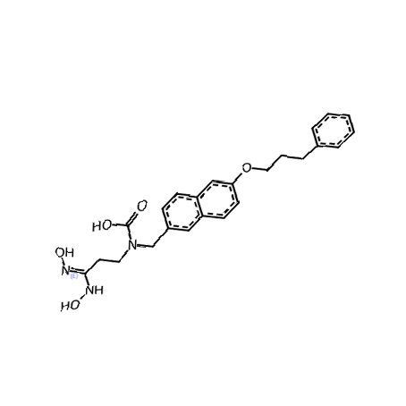 O=C(O)N(CC/C(=N\O)NO)Cc1ccc2cc(OCCCc3ccccc3)ccc2c1